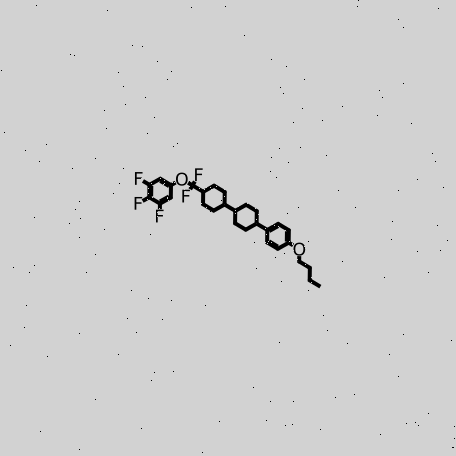 CCCCOc1ccc(C2CCC(C3CCC(C(F)(F)Oc4cc(F)c(F)c(F)c4)CC3)CC2)cc1